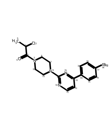 CC(Cl)C(=O)N1CCN(c2nccc(-c3ccc(C(C)(C)C)cc3)n2)CC1